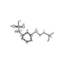 CN(C)CCOc1cc[c]c(NS(C)(=O)=O)c1